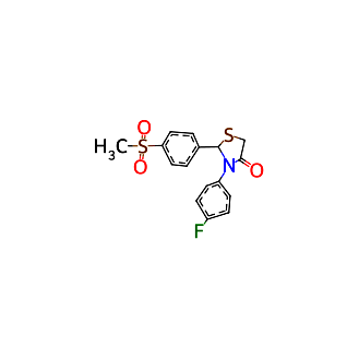 CS(=O)(=O)c1ccc(C2SCC(=O)N2c2ccc(F)cc2)cc1